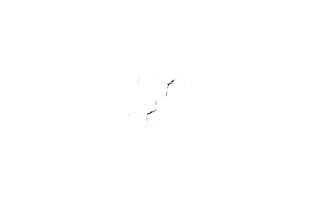 C=C(C)CCC=C(C)CCl